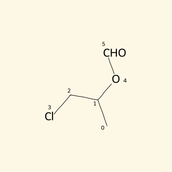 CC(CCl)OC=O